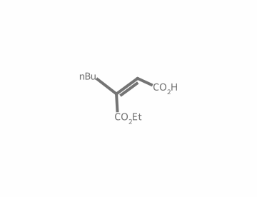 CCCCC(=CC(=O)O)C(=O)OCC